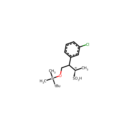 C[C@H](C(CO[Si](C)(C)C(C)(C)C)c1cccc(Cl)c1)S(=O)(=O)O